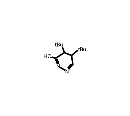 CC(C)(C)C1C=NN=C(O)C1C(C)(C)C